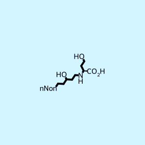 CCCCCCCCCCCC(O)CCN[C@@H](CCO)C(=O)O